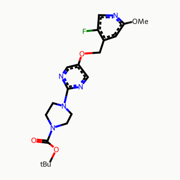 COc1cc(COc2cnc(N3CCN(C(=O)OC(C)(C)C)CC3)nc2)c(F)cn1